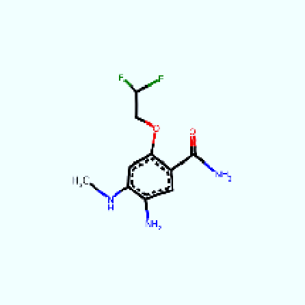 CNc1cc(OCC(F)F)c(C(N)=O)cc1N